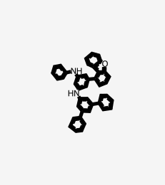 c1ccc(Nc2cc(Nc3cc(-c4ccccc4)cc(-c4ccccc4)c3)cc(-c3cccc4oc5ccccc5c34)c2)cc1